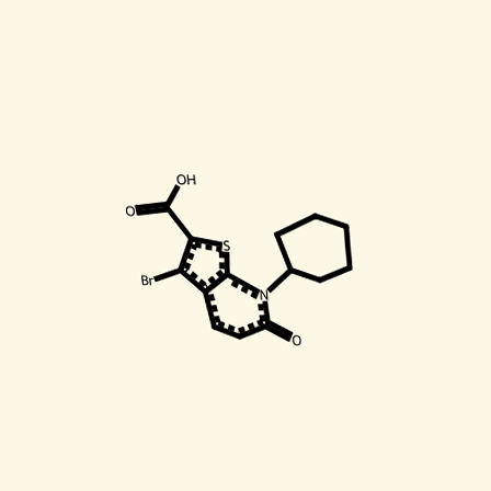 O=C(O)c1sc2c(ccc(=O)n2C2CCCCC2)c1Br